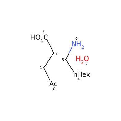 CC(=O)CCC(=O)O.CCCCCCCN.O